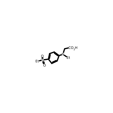 CCN(CC(=O)O)c1ccc(S(=O)(=O)CC)cc1